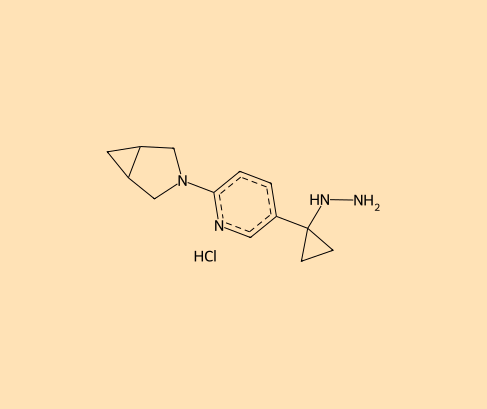 Cl.NNC1(c2ccc(N3CC4CC4C3)nc2)CC1